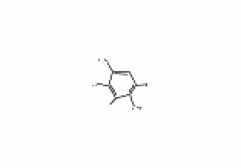 CCc1c(N)cc(F)c(OC(C)=O)c1F